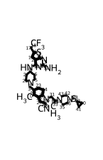 Cc1c(CN2CCC(Nc3nc(N)nc4sc(CC(F)(F)F)cc34)CC2)ccc2c1cc(C#N)n2C[C@H](C)N1CCN(SC2CC2)CC1